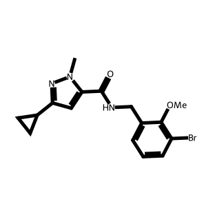 COc1c(Br)cccc1CNC(=O)c1cc(C2CC2)nn1C